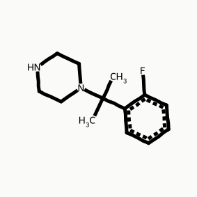 CC(C)(c1ccccc1F)N1CCNCC1